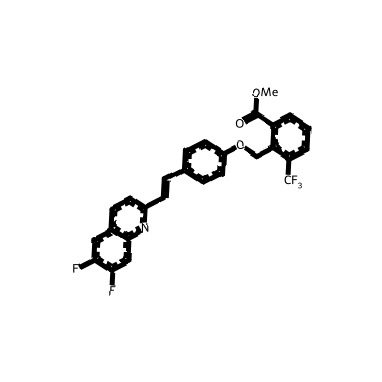 COC(=O)c1cccc(C(F)(F)F)c1COc1ccc(/C=C/c2ccc3cc(F)c(F)cc3n2)cc1